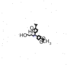 CS(=O)(=O)c1ccc(/C(=C/CCCO)c2ccc(C3CC3)c(=O)[nH]2)cc1